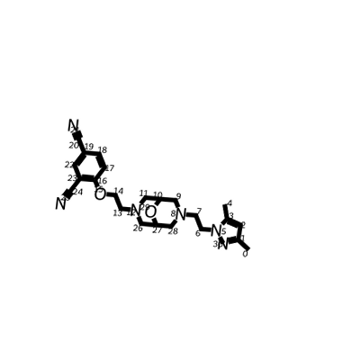 Cc1cc(C)n(CCN2CC3CN(CCOc4ccc(C#N)cc4C#N)CC(C2)O3)n1